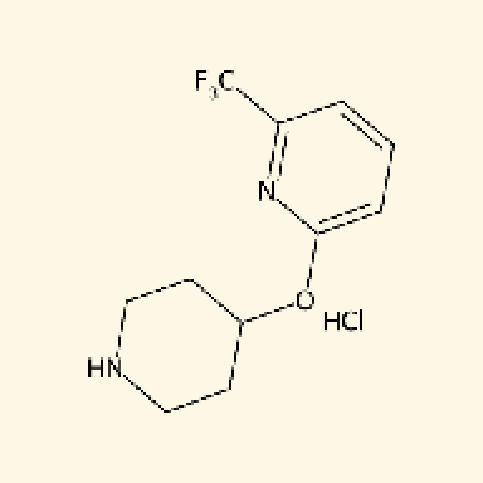 Cl.FC(F)(F)c1cccc(OC2CCNCC2)n1